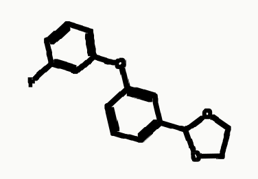 Fc1cccc(Oc2cccc(C3OCCO3)c2)c1